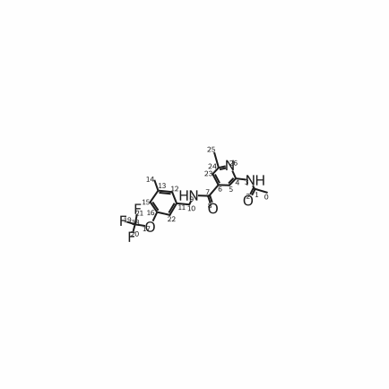 CC(=O)Nc1cc(C(=O)NCc2cc(C)cc(OC(F)(F)F)c2)cc(C)n1